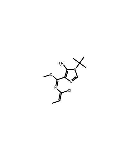 C/C=C(Cl)\N=C(\OC)c1ncn(C(C)(C)C)c1N